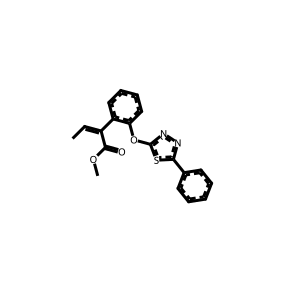 CC=C(C(=O)OC)c1ccccc1Oc1nnc(-c2ccccc2)s1